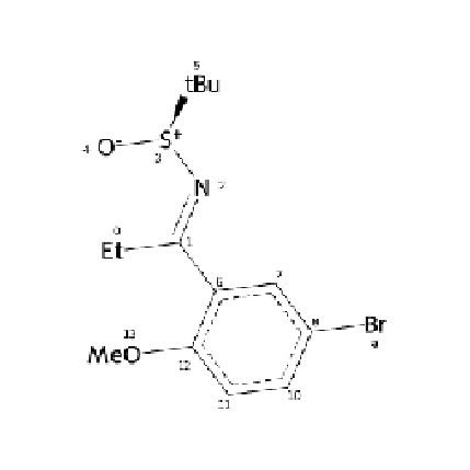 CC/C(=N\[S@@+]([O-])C(C)(C)C)c1cc(Br)ccc1OC